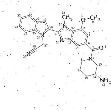 COc1cc(C(=O)N2CCCC(N)C2)cc2nc(-c3cc4ccccc4n3CC#N)n(C)c12